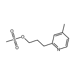 Cc1ccnc(CCCOS(C)(=O)=O)c1